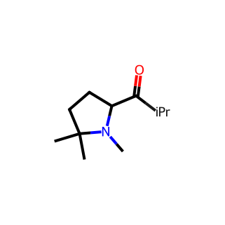 CC(C)C(=O)C1CCC(C)(C)N1C